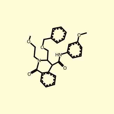 COCCN1C(=O)c2ccccc2C(C(=O)Nc2cccc(OC)c2)C1COCc1ccccc1